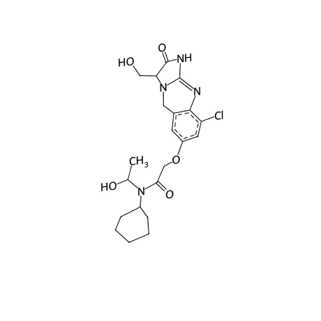 CC(O)N(C(=O)COc1cc(Cl)c2c(c1)CN1C(=N2)NC(=O)C1CO)C1CCCCC1